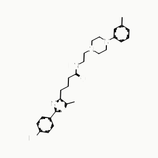 CCc1ccc(-c2nc(CCCC(=O)NCCN3CCN(c4cccc(C)c4)CC3)c(C)o2)cc1